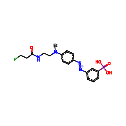 CCN(CCNC(=O)CCF)c1ccc(/N=N/c2cccc(P(=O)(O)O)c2)cc1